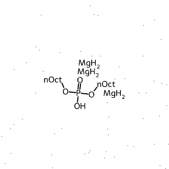 CCCCCCCCOP(=O)(O)OCCCCCCCC.[MgH2].[MgH2].[MgH2]